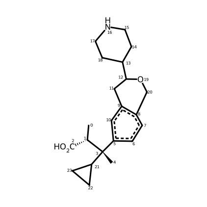 C[C@@H](C(=O)O)[C@](C)(c1ccc2c(c1)CC(C1CCNCC1)OC2)C1CC1